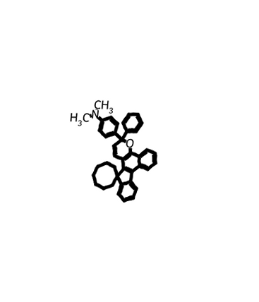 CN(C)c1ccc(C2(C3=C=C=CC=C3)C=Cc3c4c(c5ccccc5c3O2)-c2ccccc2C42CCCCCCC2)cc1